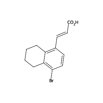 O=C(O)/C=C/c1ccc(Br)c2c1CCCC2